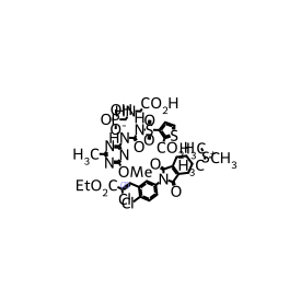 CCOC(=O)/C(Cl)=C/c1cc(N2C(=O)C3=C(CCCC3)C2=O)ccc1Cl.COc1nc(C)nc(NC(=O)NS(=O)(=O)c2ccsc2C(=O)O)n1.C[S+](C)C.O=C(O)CNCP(=O)([O-])O